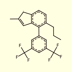 CCCc1ccc2c(c1-c1cc(C(F)(F)F)cc(C(F)(F)F)c1)C=C(C)[CH]2